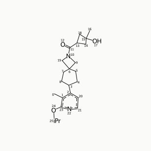 Cc1c(C2CCC3(CC2)CN(C(=O)C2CC(C)(O)C2)C3)ccnc1OC(C)C